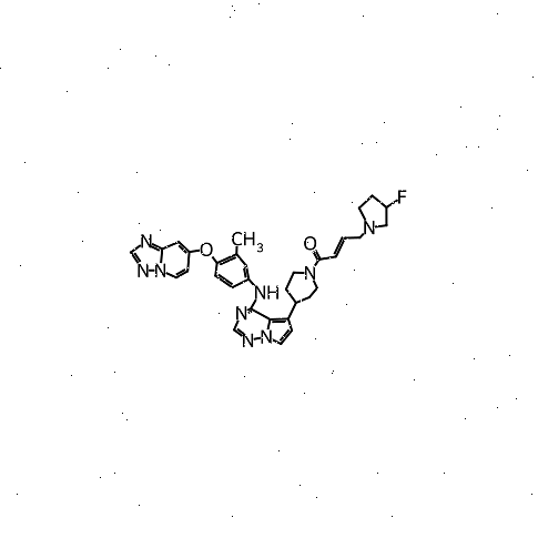 Cc1cc(Nc2ncnn3ccc(C4CCN(C(=O)/C=C/CN5CCC(F)C5)CC4)c23)ccc1Oc1ccn2ncnc2c1